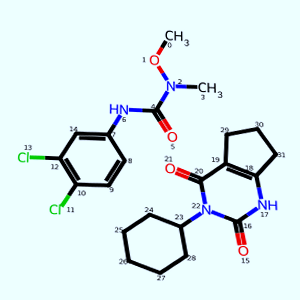 CON(C)C(=O)Nc1ccc(Cl)c(Cl)c1.O=c1[nH]c2c(c(=O)n1C1CCCCC1)CCC2